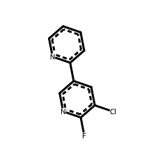 Fc1ncc(-c2ccccn2)cc1Cl